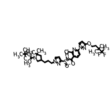 CC(C)(C)OC(=O)N1CC(CCCn2ccc([S+]([O-])NC(=O)c3ccc(-n4ccc(OCCC(C)(C)C(F)(F)F)n4)nc3Cl)n2)CC1(C)C